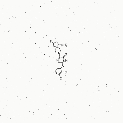 N[C@@H]1CC(F)CC12CCN(c1ncc(Sc3cccc(Cl)c3Cl)[nH]c1=O)CC2